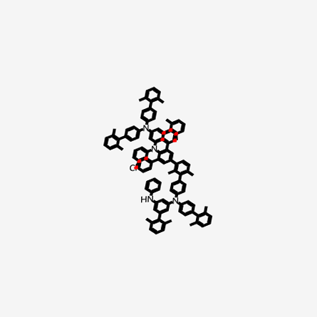 Cc1cccc(C)c1-c1ccc(N(c2ccc(-c3c(C)ccc(-c4cc(-c5ccccc5)c(N(c5cccc(Cl)c5)c5cc(-c6c(C)cccc6C)cc(N(c6ccc(-c7c(C)cccc7C)cc6)c6ccc(-c7c(C)cccc7C)cc6)c5)c(-c5ccccc5)c4)c3C)cc2)c2cc(Nc3ccccc3)cc(-c3c(C)cccc3C)c2)cc1